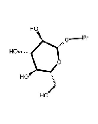 CC(C)O[C@@H]1O[C@H](CO)[C@@H](O)[C@H](O)[C@H]1O